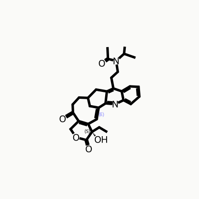 CC[C@@]1(O)C(=O)OCC2=C1/C=C1\CC(CCC2=O)Cc2c1nc1ccccc1c2CCN(C(C)=O)C(C)C